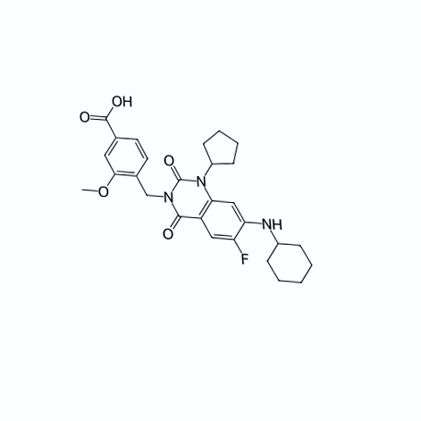 COc1cc(C(=O)O)ccc1Cn1c(=O)c2cc(F)c(NC3CCCCC3)cc2n(C2CCCC2)c1=O